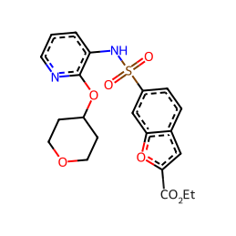 CCOC(=O)c1cc2ccc(S(=O)(=O)Nc3cccnc3OC3CCOCC3)cc2o1